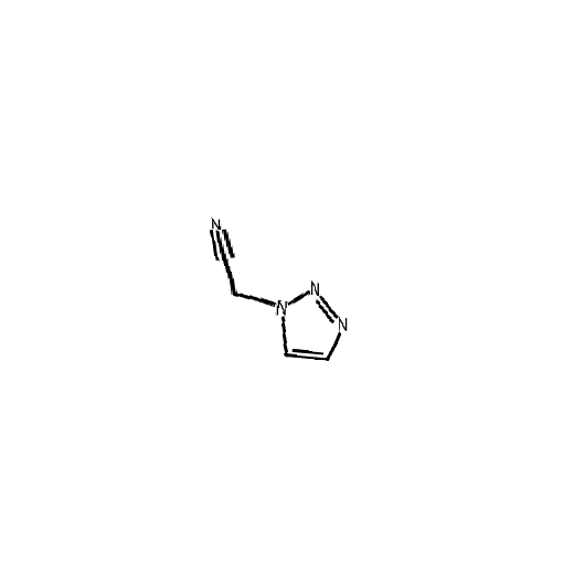 N#CCn1ccnn1